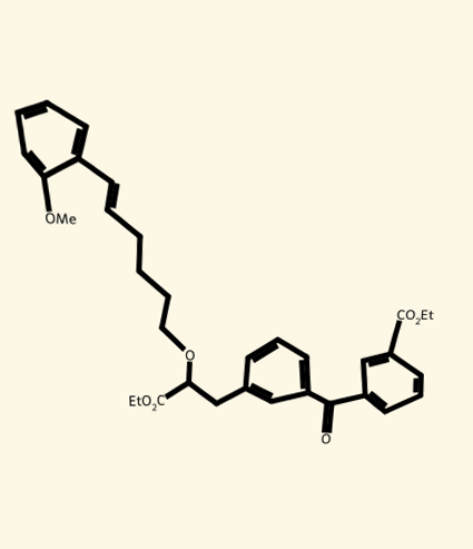 CCOC(=O)c1cccc(C(=O)c2cccc(CC(OCCCCC=Cc3ccccc3OC)C(=O)OCC)c2)c1